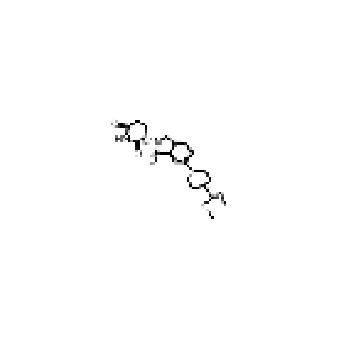 COC(OC)C1CCN(c2ccc3c(c2)C(=O)N([C@H]2CCC(=O)NC2=O)C3)CC1